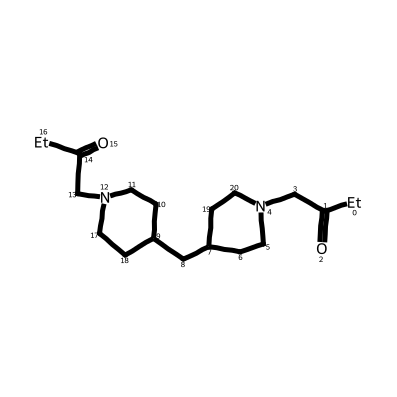 CCC(=O)CN1CCC(CC2CCN(CC(=O)CC)CC2)CC1